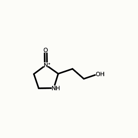 O=[N+]1CCNC1CCO